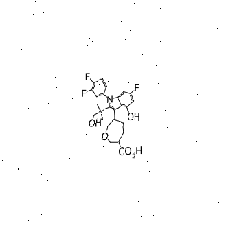 CC(C)(CO)c1c(C2CCC(C(=O)O)COC2)c2c(O)cc(F)cc2n1-c1ccc(F)c(F)c1